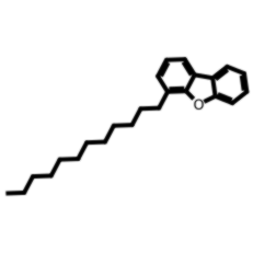 CCCCCCCCCCCCc1cccc2c1oc1ccccc12